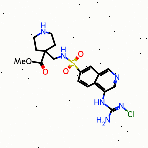 COC(=O)C1(CNS(=O)(=O)c2ccc3c(NC(N)=NCl)cncc3c2)CCNCC1